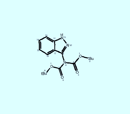 CC(C)(C)OC(=O)N(C(=O)OC(C)(C)C)c1n[nH]c2ccccc12